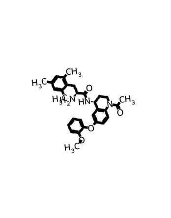 COc1ccccc1Oc1ccc2c(c1)[C@H](NC(=O)[C@@H](N)Cc1c(C)cc(C)cc1C)CCN2C(C)=O